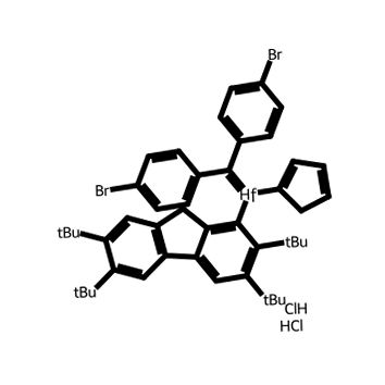 CC(C)(C)c1cc2c(cc1C(C)(C)C)-c1cc(C(C)(C)C)c(C(C)(C)C)[c]([Hf]([C]3=CC=CC3)=[C](c3ccc(Br)cc3)c3ccc(Br)cc3)c1C2.Cl.Cl